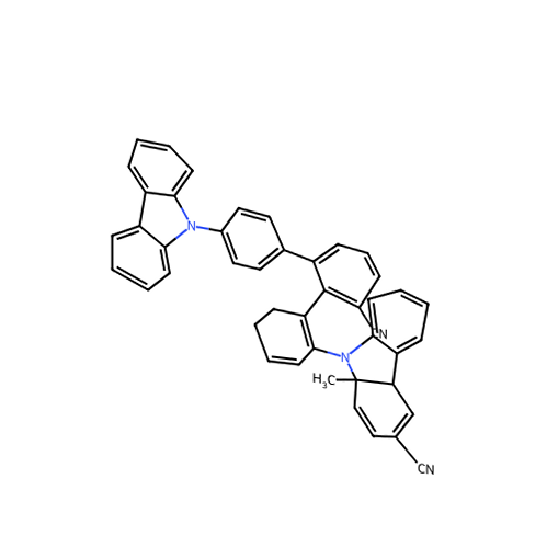 CC12C=CC(C#N)=CC1c1ccccc1N2C1=C(c2c(C#N)cccc2-c2ccc(-n3c4ccccc4c4ccccc43)cc2)CCC=C1